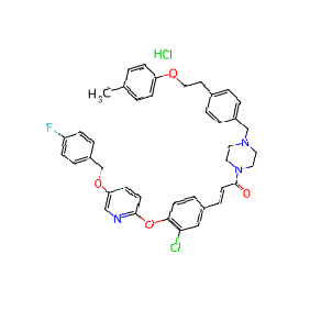 Cc1ccc(OCCc2ccc(CN3CCN(C(=O)C=Cc4ccc(Oc5ccc(OCc6ccc(F)cc6)cn5)c(Cl)c4)CC3)cc2)cc1.Cl